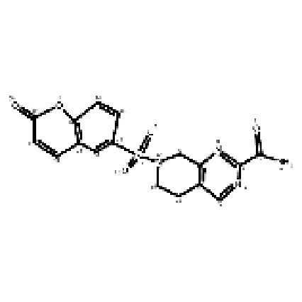 NC(=O)c1n[c]c2c(n1)CN(S(=O)(=O)c1ccc3oc(=O)ccc3c1)CC2